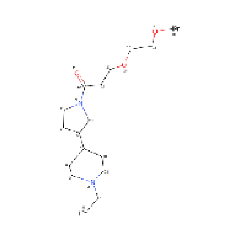 CC(C)CN1CCC(C2CCN(C(=O)CCOCCOC(C)C)C2)CC1